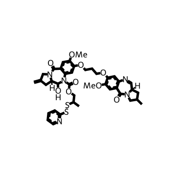 C=C1C[C@H]2C(O)N(C(=O)OCC(C)SSc3ccccn3)c3cc(OCCCOc4cc5c(cc4OC)C(=O)N4CC(C)C[C@H]4C=N5)c(OC)cc3C(=O)N2C1